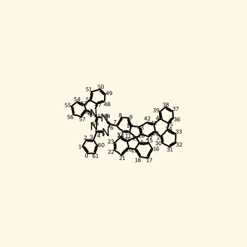 c1ccc(-c2nc(-c3ccc4c(c3)C3(c5ccccc5-c5ccccc53)c3cc5c6ccccc6c6ccccc6c5cc3-4)nc(-n3c4ccccc4c4ccccc43)n2)cc1